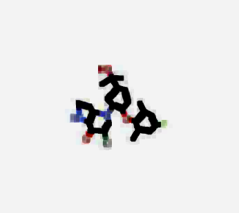 Cc1cc(F)cc(C)c1Oc1ccc(C(C)(C)O)cc1-n1cc(Cl)c(=O)c2[nH]ccc21